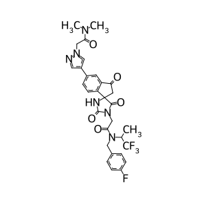 CC(N(Cc1ccc(F)cc1)C(=O)CN1C(=O)NC2(CC(=O)c3cc(-c4cnn(CC(=O)N(C)C)c4)ccc32)C1=O)C(F)(F)F